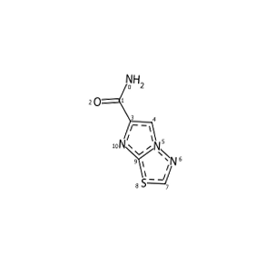 NC(=O)c1cn2ncsc2n1